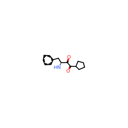 [NH][C@@H](Cc1ccccc1)C(=O)C(=O)C1CCCC1